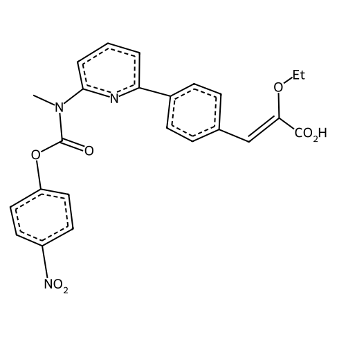 CCO/C(=C\c1ccc(-c2cccc(N(C)C(=O)Oc3ccc([N+](=O)[O-])cc3)n2)cc1)C(=O)O